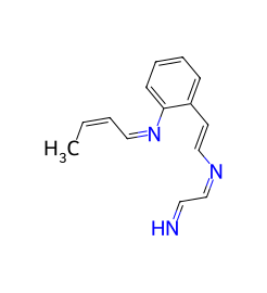 C/C=C\C=N/c1ccccc1/C=C/N=C\C=N